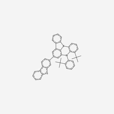 CC(C)(C)c1ccccc1N1c2cc(-c3ccc4c(c3)sc3ccccc34)cc3c2B(c2ccccc2-3)c2cccc(C(C)(C)C)c21